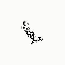 CCC[C@H]([C@H](C)CCC(CC)C(C)C)[C@@]1(C)CC[C@H]2[C@@H](CC=C3C[C@@H](OC(=O)NCCN)CC[C@@]32C)[C@@H]1C